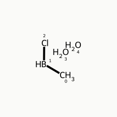 CBCl.O.O